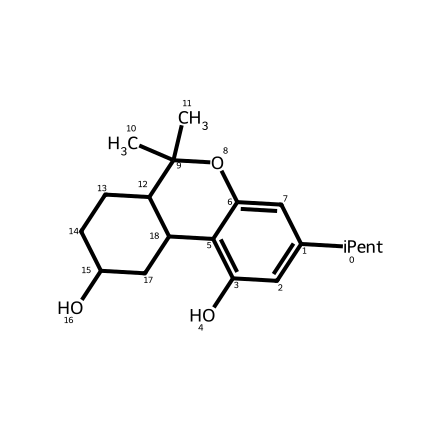 CCCC(C)c1cc(O)c2c(c1)OC(C)(C)C1CCC(O)CC21